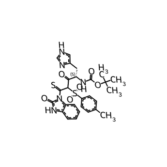 Cc1ccc(S(=O)(=O)C(C(=O)[C@H](Cc2c[nH]cn2)NC(=O)OC(C)(C)C)C(=S)n2c(=O)[nH]c3ccccc32)cc1